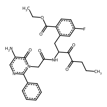 CCCC(=O)C(=O)C(Cc1cc(F)ccc1C(=O)OCC)NC(=O)Cn1c(-c2ccccc2)ncc(N)c1=O